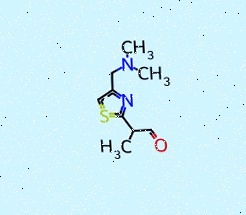 CC(C=O)c1nc(CN(C)C)cs1